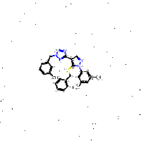 Cc1cccc(Cn2nnc(-c3cnn(-c4cc(C)cc(C)c4)c3SCc3ccccc3)n2)c1